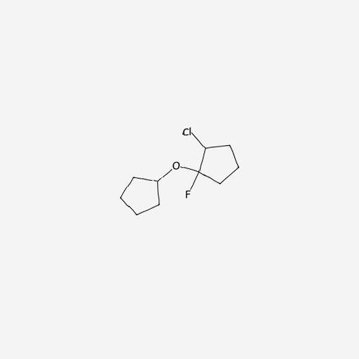 FC1(OC2CCCC2)CCCC1Cl